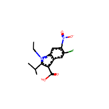 CCn1c(C(C)C)c(C(=O)O)c2cc(F)c([N+](=O)[O-])cc21